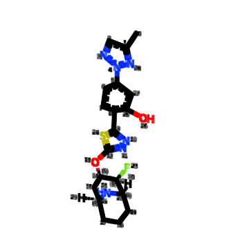 Cc1cnn(-c2ccc(-c3nnc(O[C@H]4C[C@@H]5CCC[C@@H](N5)[C@@H]4F)s3)c(O)c2)n1